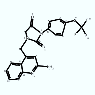 Nc1cc(CN2CC(=O)N(c3ccc(SC(F)(F)F)cc3)C2=O)c2ccccc2n1